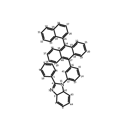 C1=CC2N=C(c3ccccc3)N(c3cccc(-c4c5ccccc5c(-c5cccc6ccccc56)c5ccccc45)c3)C2C=C1